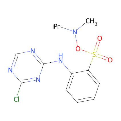 CC(C)N(C)OS(=O)(=O)c1ccccc1Nc1ncnc(Cl)n1